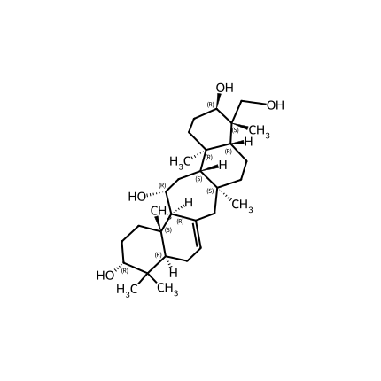 CC1(C)[C@H](O)CC[C@]2(C)[C@@H]3C(=CC[C@@H]12)C[C@]1(C)CC[C@@H]2[C@](C)(CC[C@@H](O)[C@]2(C)CO)[C@H]1C[C@H]3O